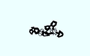 CC1(C)c2ccccc2-c2cc3c(cc21)Oc1cc(-c2nc(-c4ccccc4)nc(-c4ccccc4-c4ccccc4)n2)ccc1O3